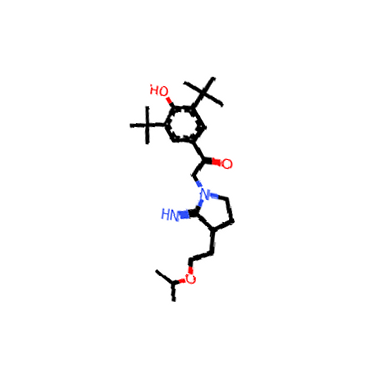 CC(C)OCCC1CCN(CC(=O)c2cc(C(C)(C)C)c(O)c(C(C)(C)C)c2)C1=N